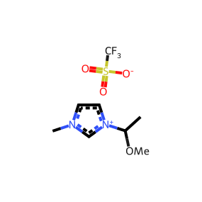 COC(C)[n+]1ccn(C)c1.O=S(=O)([O-])C(F)(F)F